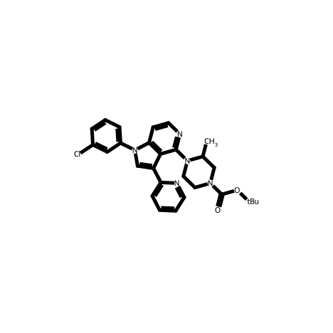 CC1CN(C(=O)OC(C)(C)C)CCN1c1nccc2c1c(-c1ccccn1)cn2-c1cccc(Cl)c1